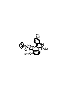 COc1cccc(OC)c1-c1cc(C(=O)NC2C3CC4CC(C3)CC2C4)nn1-c1ccnc2cc(Cl)ccc12